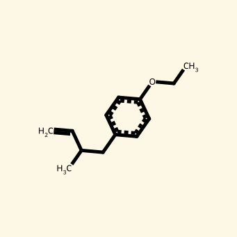 C=CC(C)Cc1ccc(OCC)cc1